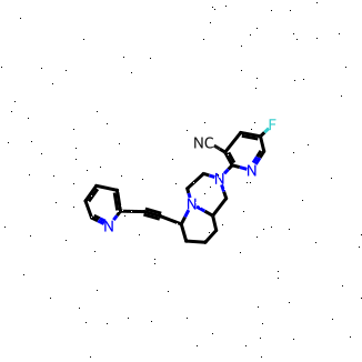 N#Cc1cc(F)cnc1N1CCN2C(C#Cc3ccccn3)CCCC2C1